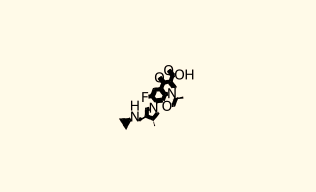 C[C@H]1CN(c2c(F)cc3c(=O)c(C(=O)O)cn4c3c2OC[C@@H]4C)C[C@@H]1CNC1CC1